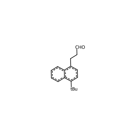 CC(C)(C)c1ccc(CCC=O)c2ccccc12